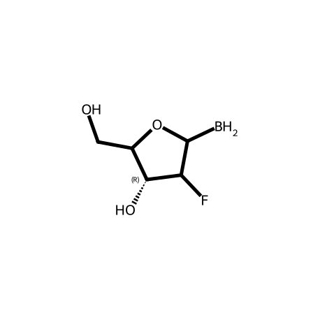 BC1OC(CO)[C@@H](O)C1F